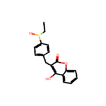 [CH2]C[S+]([O-])c1ccc(Cc2c(O)c3ccccc3oc2=O)cc1